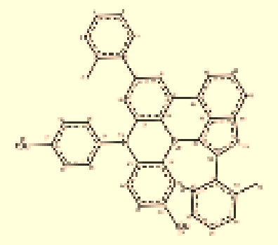 Cc1ccccc1-c1cc2c3c(c1)N(c1ccc(C(C)(C)C)cc1)c1ccc(C(C)(C)C)cc1B3c1c(-c3c(C)cccc3C)sc3cccc-2c13